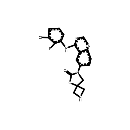 O=C1OC2(CNC2)CN1c1ccc2ncnc(Nc3cccc(Cl)c3F)c2c1